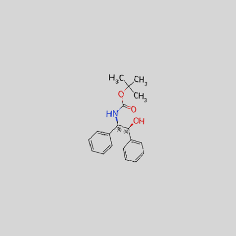 CC(C)(C)OC(=O)N[C@H](c1ccccc1)[C@@H](O)c1ccccc1